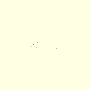 CCCCCCCCN1CCN(C(=O)O)CC1C(=O)O